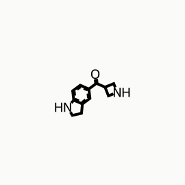 O=C(c1ccc2c(c1)CCN2)C1CNC1